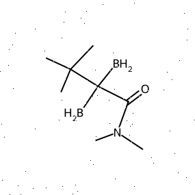 BC(B)(C(=O)N(C)C)C(C)(C)C